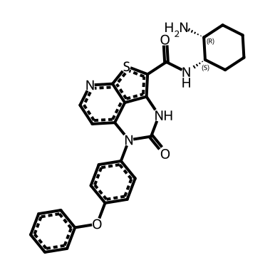 N[C@@H]1CCCC[C@@H]1NC(=O)c1sc2nccc3c2c1NC(=O)N3c1ccc(Oc2ccccc2)cc1